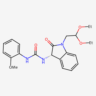 CCOC(CN1C(=O)[C@@H](NC(=O)Nc2ccccc2OC)c2ccccc21)OCC